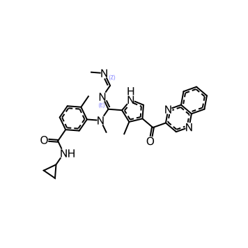 C/N=C\N=C(/c1[nH]cc(C(=O)c2cnc3ccccc3n2)c1C)N(C)c1cc(C(=O)NC2CC2)ccc1C